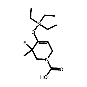 CC[Si](CC)(CC)OC1=CCN(C(=O)O)CC1(C)F